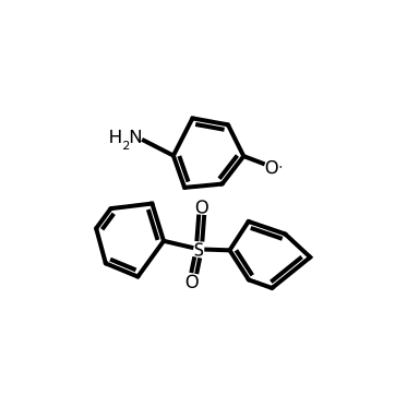 Nc1ccc([O])cc1.O=S(=O)(c1ccccc1)c1ccccc1